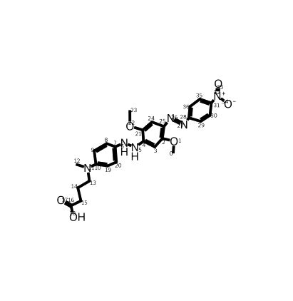 COc1cc(NNc2ccc(N(C)CCCC(=O)O)cc2)c(OC)cc1/N=N/c1ccc([N+](=O)[O-])cc1